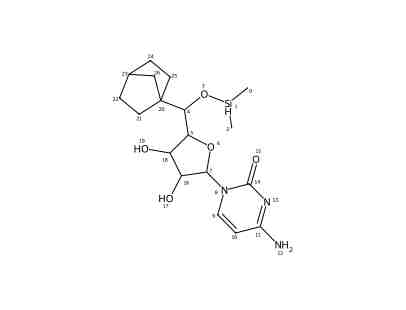 C[SiH](C)OC(C1OC(n2ccc(N)nc2=O)C(O)C1O)C12CCC(CC1)C2